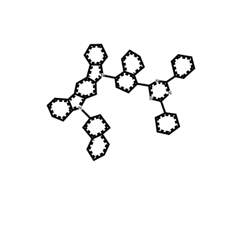 c1ccc(-c2nc(-c3ccccc3)nc(-c3ccc(-n4c5ccccc5c5cc6c7ccccc7n(-c7ccc8ccccc8c7)c6cc54)c4ccccc34)n2)cc1